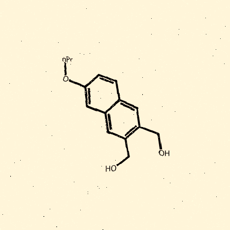 CCCOc1ccc2cc(CO)c(CO)cc2c1